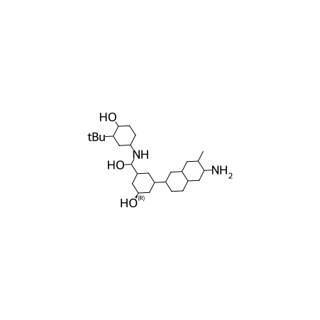 CC1CC2CC(C3CC(C(O)NC4CCC(O)C(C(C)(C)C)C4)C[C@H](O)C3)CCC2CC1N